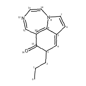 CCCC1C=c2ccn3c2=C(C=NC=C3)C1=O